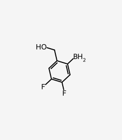 Bc1cc(F)c(F)cc1CO